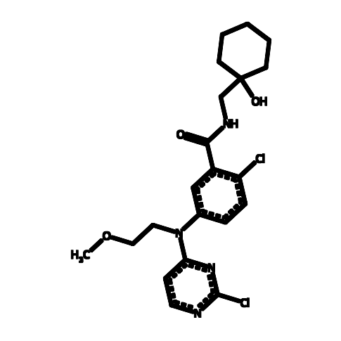 COCCN(c1ccc(Cl)c(C(=O)NCC2(O)CCCCC2)c1)c1ccnc(Cl)n1